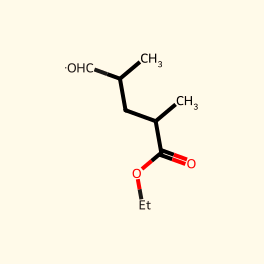 CCOC(=O)C(C)CC(C)[C]=O